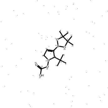 CC(C)(C)C1C(B2OC(C)(C)C(C)(C)O2)=CCN1OC(=O)O